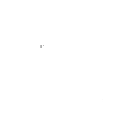 CCCC(C(=O)Nc1c(C)cc(OC)cc1C)[PH]1(C)CCCCC1